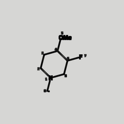 [CH2]N1CCC(OC)C(F)C1